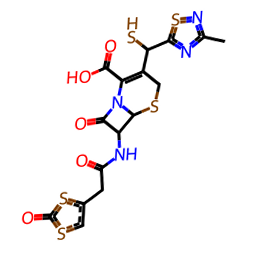 Cc1nsc(C(S)C2=C(C(=O)O)N3C(=O)C(NC(=O)Cc4csc(=O)s4)C3SC2)n1